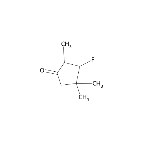 CC1C(=O)CC(C)(C)C1F